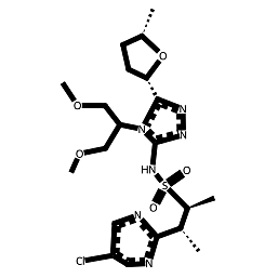 COCC(COC)n1c(NS(=O)(=O)[C@@H](C)[C@H](C)c2ncc(Cl)cn2)nnc1[C@@H]1CC[C@H](C)O1